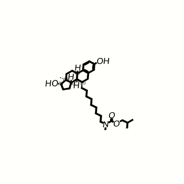 CC(C)COC(=O)N(C)CCCCCCCCC[C@@H]1Cc2cc(O)ccc2[C@H]2CC[C@]3(C)[C@@H](O)CC[C@H]3[C@H]12